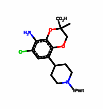 CCCCCN1CCC(c2cc(Cl)c(N)c3c2OCC(C)(C(=O)O)O3)CC1